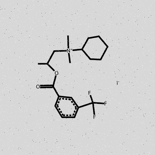 CC(C[N+](C)(C)C1CCCCC1)OC(=O)c1cccc(C(F)(F)F)c1.[I-]